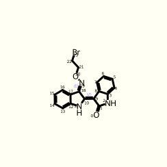 O=C1Nc2ccccc2/C1=C1/Nc2ccccc2/C1=N\OCCBr